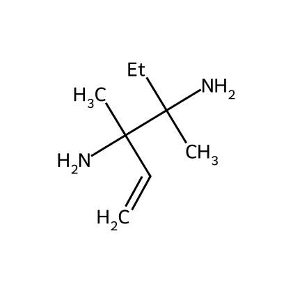 C=CC(C)(N)C(C)(N)CC